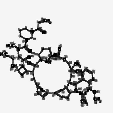 C=CC(=O)N1CCCN(C(=O)N(C)[C@H](C(=O)N2CCC2C2Cc3nc(cs3)-c3ccc4c(c3)c(c(-c3cccnc3[C@H](C)OC)n4CC)CC(C)(C)COC(=O)[C@@H]3CCCN(N3)C2=O)C(C)C)C1